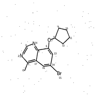 Cc1ncnc2c(OC3CCCC3)cc(Br)cc12